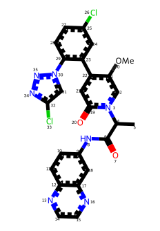 COc1cn(C(C)C(=O)Nc2ccc3nccnc3c2)c(=O)cc1-c1cc(Cl)ccc1-n1cc(Cl)nn1